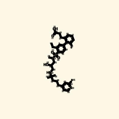 CCc1cc(-c2c(F)cccc2CCC(=O)O)ccc1S(=O)(=O)N(C)CC(O)CNC(C)(C)CCCc1ccnc(F)c1